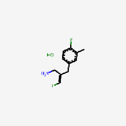 Cc1cc(C/C(=C/F)CN)ccc1F.Cl